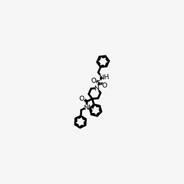 O=C(NCc1ccccc1)C1(c2ccccc2)CCN(S(=O)(=O)NCc2ccccc2)CC1